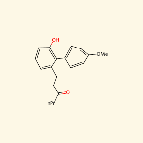 CCCC(=O)CCc1cccc(O)c1-c1ccc(OC)cc1